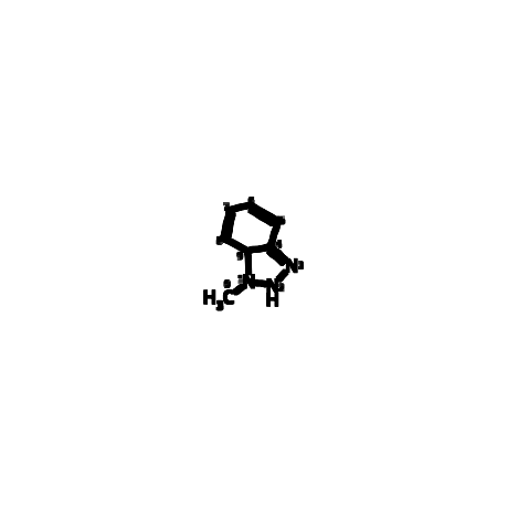 CN1NN=C2[C]=CC=CC21